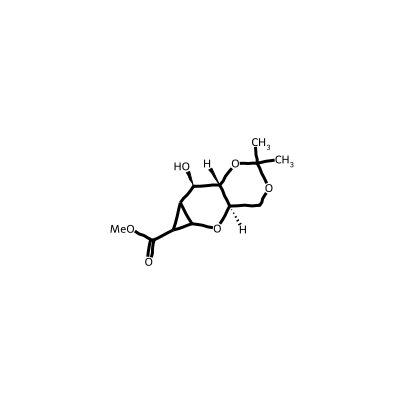 COC(=O)C1C2O[C@@H]3COC(C)(C)O[C@H]3[C@H](O)C21